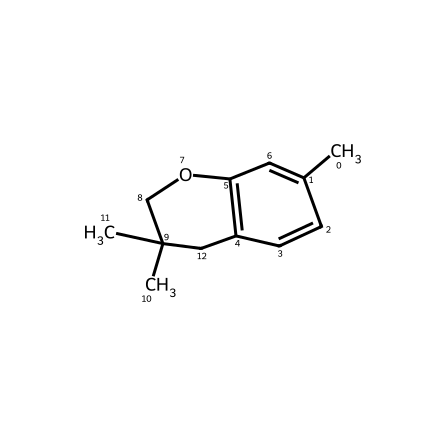 Cc1ccc2c(c1)OCC(C)(C)C2